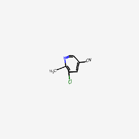 Cc1n[c]c(C#N)cc1Cl